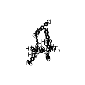 Cc1ncsc1-c1ccc([C@H](C)NC(=O)[C@@H]2C[C@@H](O)CN2C(=O)[C@@H](NC(=O)CCCCCCC(=O)N2CCN(CC3(C)CCC(c4ccc(Cl)cc4)=C(CN4CCN(c5ccc(C(=O)NS(=O)(=O)c6ccc(N[C@H](CCN7CCOCC7)CSc7ccccc7)c(S(=O)(=O)C(F)(F)F)c6)cc5)CC4)C3)CC2)C(C)(C)C)cc1